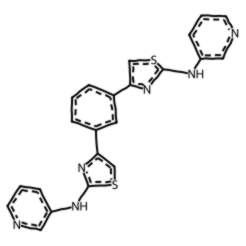 c1cncc(Nc2nc(-c3cccc(-c4csc(Nc5cccnc5)n4)c3)cs2)c1